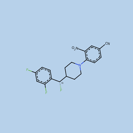 N#Cc1ccc(N2CCC([C@H](F)c3ccc(F)cc3F)CC2)c([N+](=O)[O-])c1